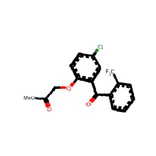 COC(=O)COc1ccc(Cl)cc1C(=O)c1ccccc1C(F)(F)F